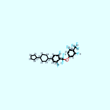 Fc1cc(OC(F)(F)c2c(F)cc(C3CCC(C4CCCC4)CC3)cc2F)cc(F)c1C(F)(F)F